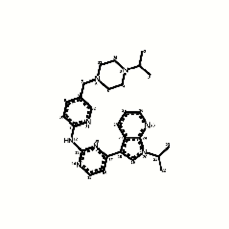 CC(C)N1CCN(Cc2ccc(Nc3nccc(-c4cn(C(C)C)c5ncccc45)n3)nc2)CC1